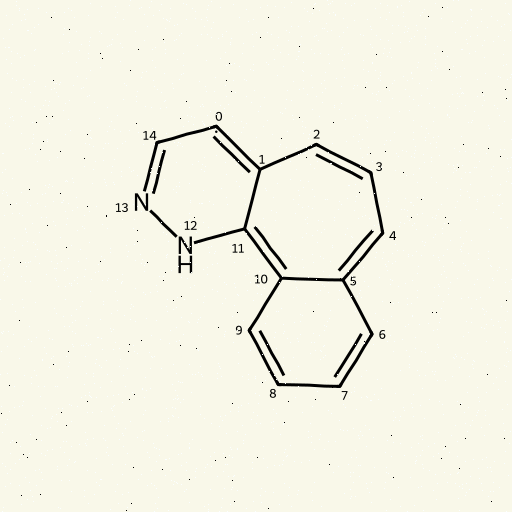 [C]1=C2C=CC=c3ccccc3=C2NN=C1